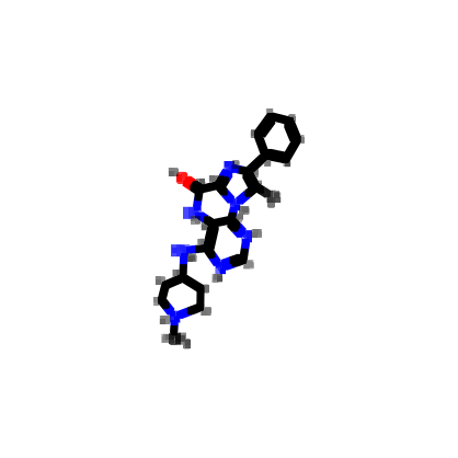 CCc1c(-c2ccccc2)nc2c(=O)[nH]c3c(NC4CCN(C)CC4)ncnc3n12